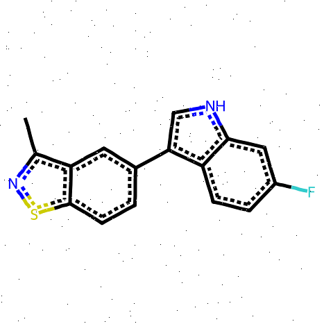 Cc1nsc2ccc(-c3c[nH]c4cc(F)ccc34)cc12